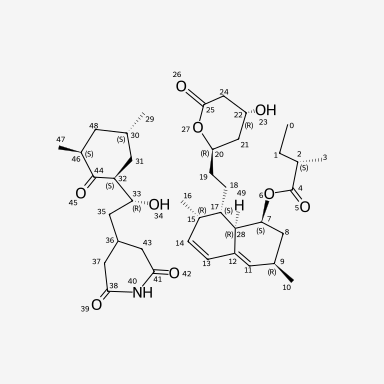 CC[C@H](C)C(=O)O[C@H]1C[C@@H](C)C=C2C=C[C@H](C)[C@H](CC[C@@H]3C[C@@H](O)CC(=O)O3)[C@H]21.C[C@@H]1C[C@@H]([C@H](O)CC2CC(=O)NC(=O)C2)C(=O)[C@@H](C)C1